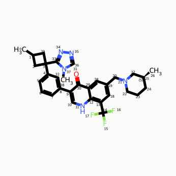 CC1CC(c2cccc(-c3c[nH]c4c(C(F)(F)F)cc(CN5CCC[C@H](C)C5)cc4c3=O)c2)(c2nncn2C)C1